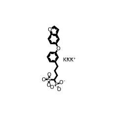 O=P([O-])([O-])C(CCCc1cccc(Oc2ccc3occc3c2)c1)S(=O)(=O)[O-].[K+].[K+].[K+]